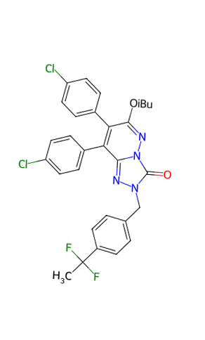 CC(C)COc1nn2c(=O)n(Cc3ccc(C(C)(F)F)cc3)nc2c(-c2ccc(Cl)cc2)c1-c1ccc(Cl)cc1